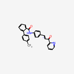 O=C(/C=C/c1ccc(NC(=O)c2ccccc2-c2ccc(C(F)(F)F)cc2)cc1)c1ccccn1